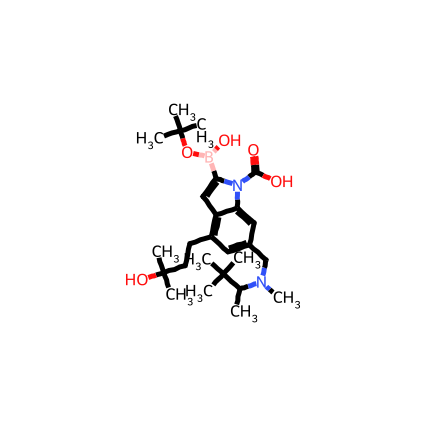 CC(N(C)Cc1cc(CCC(C)(C)O)c2cc(B(O)OC(C)(C)C)n(C(=O)O)c2c1)C(C)(C)C